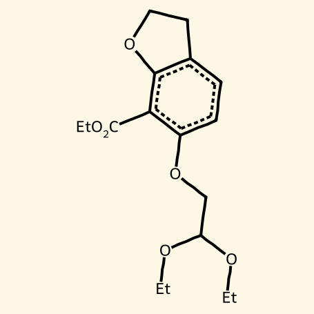 CCOC(=O)c1c(OCC(OCC)OCC)ccc2c1OCC2